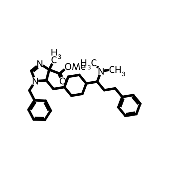 COC(=O)C1(C)N=CN(Cc2ccccc2)C1CC1CCC(C(CCc2ccccc2)N(C)C)CC1